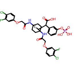 O=C(COc1ccc(Cl)c(F)c1)NC12CCC(NC(=O)COc3ccc(Cl)c(F)c3)(CC1)C(C(C(=O)O)c1cccc(OP(=O)(O)O)c1)C2